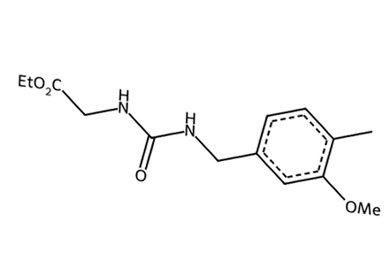 CCOC(=O)CNC(=O)NCc1ccc(C)c(OC)c1